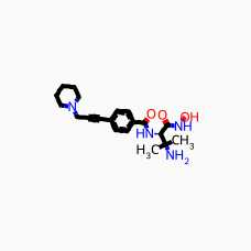 CC(C)(N)[C@H](NC(=O)c1ccc(C#CCN2CCCCC2)cc1)C(=O)NO